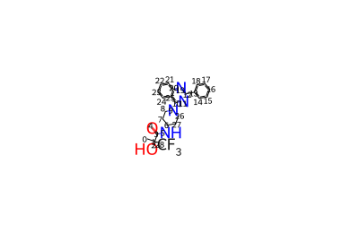 CC(O)(C(=O)NC1CCN(c2nc(-c3ccccc3)nc3ccccc23)CC1)C(F)(F)F